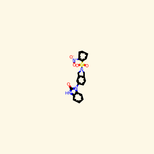 O=c1[nH]c2ccccc2n1-c1ccc2c(c1)CN(S(=O)(=O)c1ccccc1[N+](=O)[O-])C2